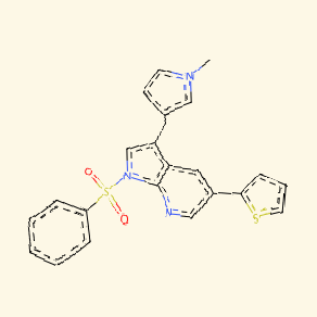 Cn1ccc(-c2cn(S(=O)(=O)c3ccccc3)c3ncc(-c4cccs4)cc23)c1